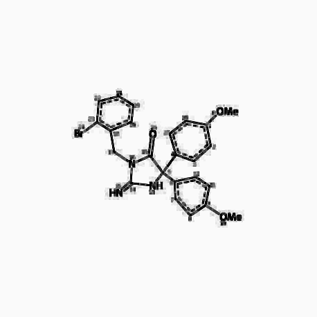 COc1ccc(C2(c3ccc(OC)cc3)NC(=N)N(Cc3ccccc3Br)C2=O)cc1